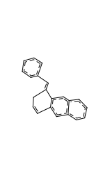 C1=Cc2cc3ccccc3cc2C(=Cc2ccccc2)C1